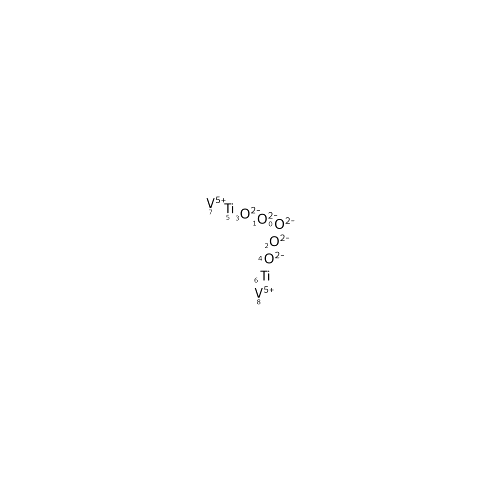 [O-2].[O-2].[O-2].[O-2].[O-2].[Ti].[Ti].[V+5].[V+5]